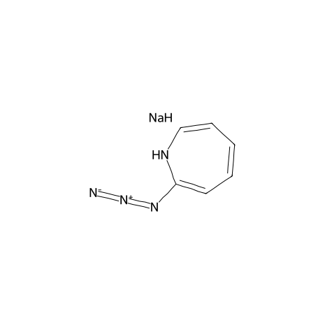 [N-]=[N+]=NC1=CC=CC=CN1.[NaH]